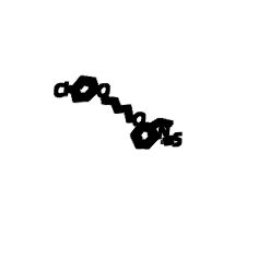 S=[C]N1CCc2c(OCCCCCOc3ccc(Cl)cc3)cccc21